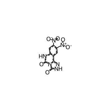 O=c1[nH]nc2c3cc([N+](=O)[O-])c([N+](=O)[O-])cc3[nH]c(=O)n12